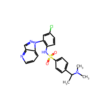 CC(c1ccc(S(=O)(=O)Nc2ccc(Cl)cc2-n2ncc3ncccc32)cc1)N(C)C